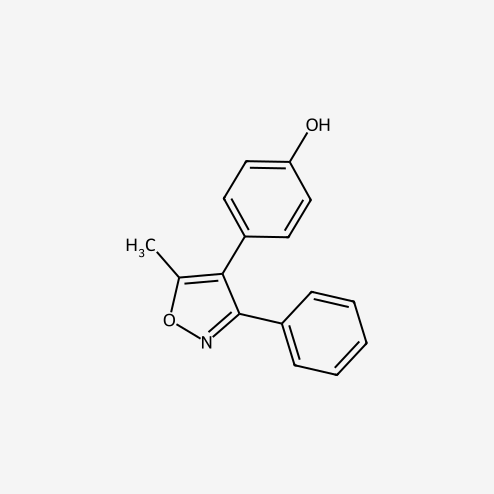 Cc1onc(-c2ccccc2)c1-c1ccc(O)cc1